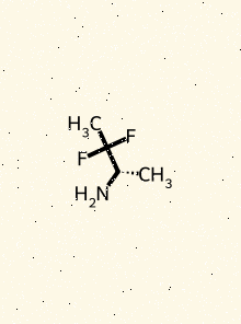 C[C@H](N)C(C)(F)F